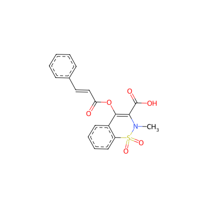 CN1C(C(=O)O)=C(OC(=O)C=Cc2ccccc2)c2ccccc2S1(=O)=O